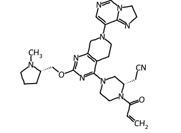 C=CC(=O)N1CCN(c2nc(OC[C@@H]3CCCN3C)nc3c2CCN(C2=CN=CN4CCN=C24)C3)C[C@@H]1CC#N